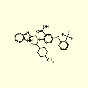 CC1CCC(C(=O)N(Cc2nc3ccccc3[nH]2)c2ccc(Oc3ncccc3C(F)(F)F)cc2C(=O)O)CC1